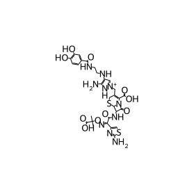 CC(C)(O/N=C(\C(=O)N[C@@H]1C(=O)N2C(C(=O)O)=C(C[n+]3cc(NCCNC(=O)c4ccc(O)c(O)c4)c(N)[nH]3)CSC12)c1csc(N)n1)C(=O)O